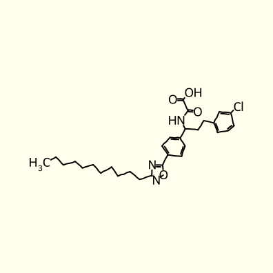 CCCCCCCCCCCc1noc(-c2ccc(C(CCc3cccc(Cl)c3)NC(=O)C(=O)O)cc2)n1